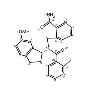 COc1ccc2c(c1)[C@H](N(Cc1cccnc1C(N)=O)C(=O)c1cccnc1C)CC2